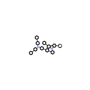 C1=CC(c2ccc3c4cc(-c5ccccc5)ccc4n(-c4ccccc4-c4ccc(-c5ccc(N(c6ccc(-c7ccccc7)cc6)c6ccc(-c7ccccc7)cc6)cc5)cc4)c3c2)=CCC1